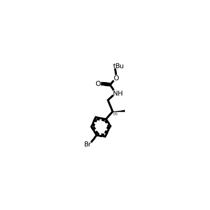 C[C@H](CNC(=O)OC(C)(C)C)c1ccc(Br)cc1